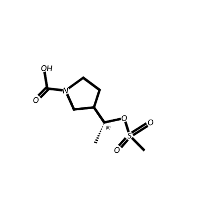 C[C@@H](OS(C)(=O)=O)C1CCN(C(=O)O)C1